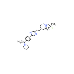 C=C(c1ccc(-c2cnc(CCC3CCCN(CC(C)(C)F)CC3)cn2)cc1)N1CCCCC1